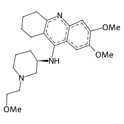 COCCN1CCC[C@@H](Nc2c3c(nc4cc(OC)c(OC)cc24)CCCC3)C1